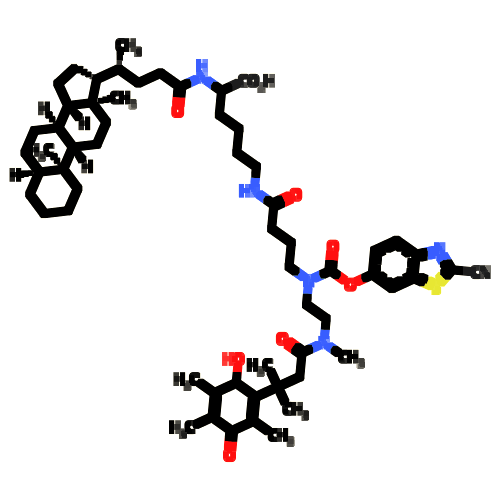 CC1=C(C)C(O)C(C(C)(C)CC(=O)N(C)CCN(CCCC(=O)NCCCCC(NC(=O)CC[C@@H](C)[C@H]2CC[C@H]3[C@@H]4CC[C@@H]5CCCC[C@]5(C)[C@H]4CC[C@]23C)C(=O)O)C(=O)Oc2ccc3nc(C#N)sc3c2)=C(C)C1=O